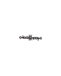 Fc1c(F)c(-c2cc3cc4cc5cc(-c6ccccc6)sc5cc4cc3s2)c(F)c(F)c1-c1cc2cc3cc4cc(-c5ccccc5)sc4cc3cc2s1